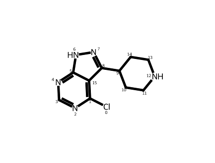 Clc1ncnc2[nH]nc(C3CCNCC3)c12